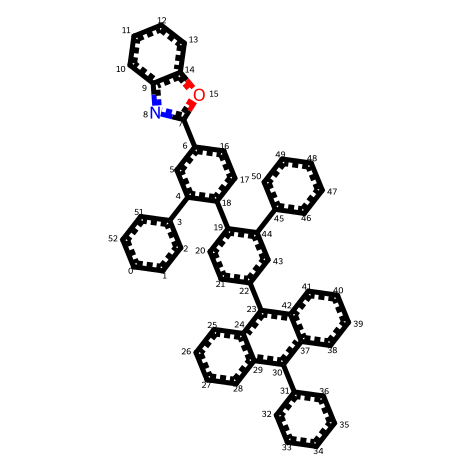 c1ccc(-c2cc(-c3nc4ccccc4o3)ccc2-c2ccc(-c3c4ccccc4c(-c4ccccc4)c4ccccc34)cc2-c2ccccc2)cc1